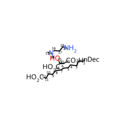 CCCCCCCCCCCCCCCCCCCCCC(=O)O.CN(C)CCCN.O=C(O)CC(O)C(=O)O